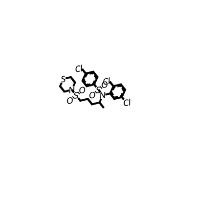 CC(CCCS(=O)(=O)N1CCSCC1)N(c1cc(Cl)ccc1Cl)S(=O)(=O)c1ccc(Cl)cc1